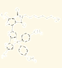 CCCCCCCCN1C(=O)c2c(C)sc(-c3cc4c(s3)-c3sc(C)cc3[Si]4(c3ccc(C)cc3)c3ccc(C)cc3)c2C1=O